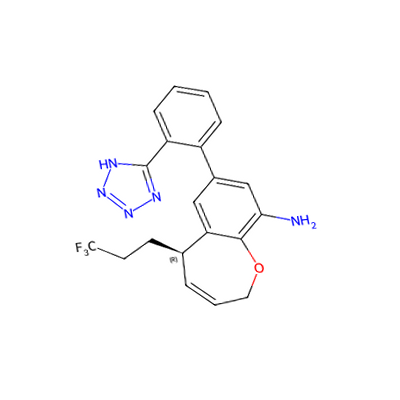 Nc1cc(-c2ccccc2-c2nnn[nH]2)cc2c1OCC=C[C@H]2CCC(F)(F)F